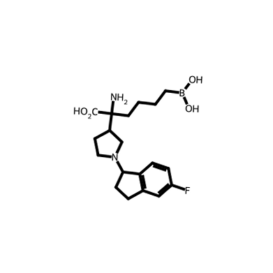 NC(CCCCB(O)O)(C(=O)O)C1CCN(C2CCc3cc(F)ccc32)C1